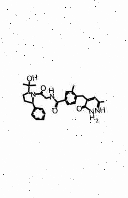 CC(=N)/C=C(/Cc1ccc(C(=O)NCC(=O)N2C(c3ccccc3)CCC2C(C)(C)O)cc1C)C(N)=O